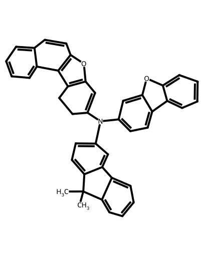 CC1(C)c2ccccc2-c2cc(N(C3=Cc4oc5ccc6ccccc6c5c4CC3)c3ccc4c(c3)oc3ccccc34)ccc21